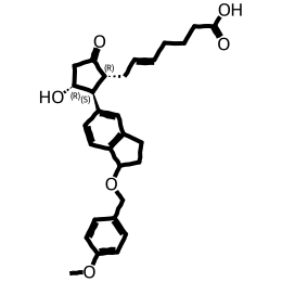 COc1ccc(COC2CCc3cc([C@H]4[C@H](O)CC(=O)[C@@H]4CC=CCCCC(=O)O)ccc32)cc1